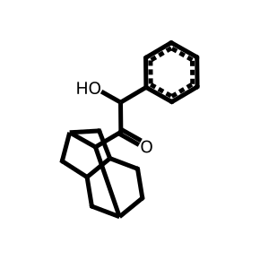 O=C(C(O)c1ccccc1)C1C2CCC3CC1CC3C2